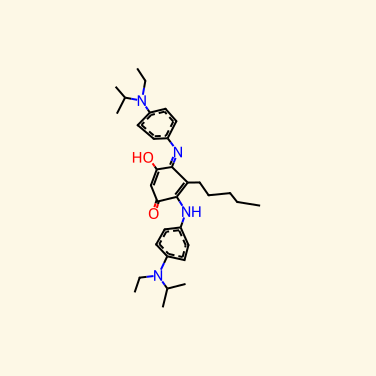 CCCCCC1=C(Nc2ccc(N(CC)C(C)C)cc2)C(=O)C=C(O)C1=Nc1ccc(N(CC)C(C)C)cc1